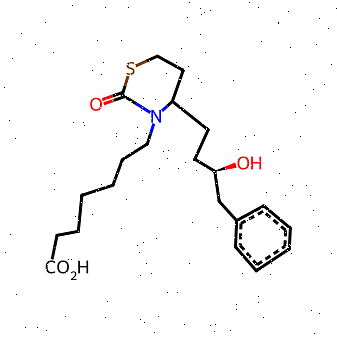 O=C(O)CCCCCCN1C(=O)SCCC1CC[C@@H](O)Cc1ccccc1